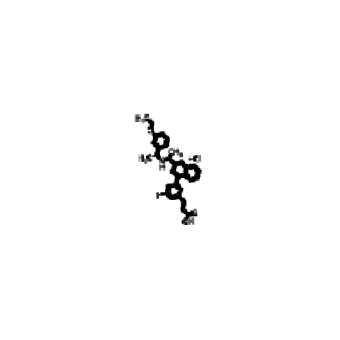 CCOc1cccc([C@@H](C)NC(C)c2cc(-c3cc(F)cc(CCC(=O)O)c3)c3ccccc3c2)c1.Cl